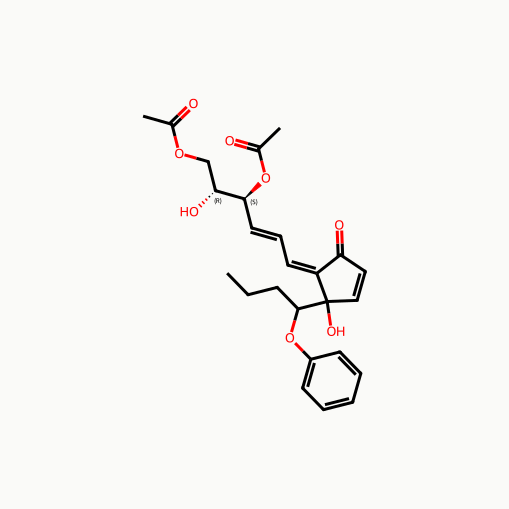 CCCC(Oc1ccccc1)C1(O)C=CC(=O)C1=CC=C[C@H](OC(C)=O)[C@H](O)COC(C)=O